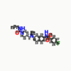 CCCNC(=O)N1CCC(CN(CC)C2CCc3ccc(NS(=O)(=O)c4ccc(F)cc4)cc3C2)CC1